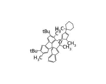 C/[C](c1ccc2ccccc2c1)=[Zr](\[C]1=CC(C2(C)CCCCC2)=CC1C)[c]1c(C)c(C(C)(C)C)cc2c1Cc1cc(C)c(C(C)(C)C)cc1-2